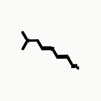 CN(C)CC=NC=[C]N